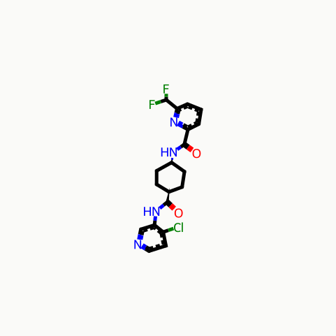 O=C(N[C@H]1CC[C@H](C(=O)Nc2cnccc2Cl)CC1)c1cccc(C(F)F)n1